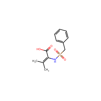 CC(C)=C(NS(=O)(=O)Cc1ccccc1)C(=O)O